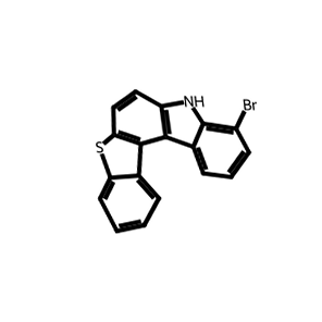 Brc1cccc2c1[nH]c1ccc3sc4ccccc4c3c12